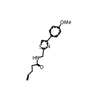 C=CCCC(=O)NCc1nc(-c2ccc(OC)cc2)cs1